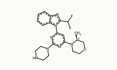 C[C@H]1COCCN1c1cc(-n2c(C(F)F)nc3ccccc32)nc(N2CCNCC2)n1